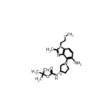 COCCn1c(C)nc2c(N3CC[C@H](NC(=O)OC(C)(C)C)C3)c(N)ccc21